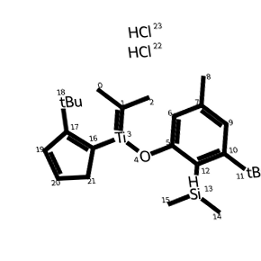 C[C](C)=[Ti]([O]c1cc(C)cc(C(C)(C)C)c1[SiH](C)C)[C]1=C(C(C)(C)C)C=CC1.Cl.Cl